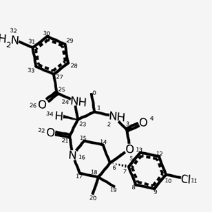 CC1NC(=O)O[C@]2(c3ccc(Cl)cc3)CCN(CC2(C)C)C(=O)[C@@H]1NC(=O)c1cccc(N)c1